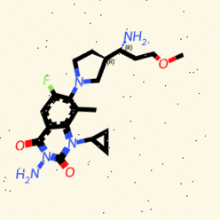 COCC[C@@H](N)[C@@H]1CCN(c2c(F)cc3c(=O)n(N)c(=O)n(C4CC4)c3c2C)C1